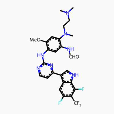 COc1cc(N(C)CCN(C)C)c(NC=O)cc1Nc1nccc(-c2c[nH]c3c(F)c(C(F)(F)F)c(F)cc23)n1